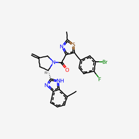 C=C1C[C@@H](c2nc3cccc(C)c3[nH]2)N(C(=O)c2nc(C)sc2-c2ccc(F)c(Br)c2)C1